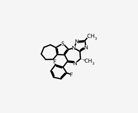 Cc1nc2n(n1)-c1sc3c(c1C(c1c(F)cccc1F)=N[C@H]2C)CCCCC3